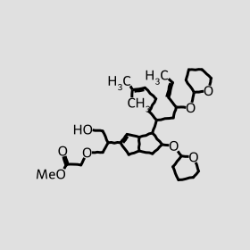 CC=CC(CC(CCC=C(C)C)C1C(OC2CCCCO2)CC2CC(C(CO)COCC(=O)OC)=CC21)OC1CCCCO1